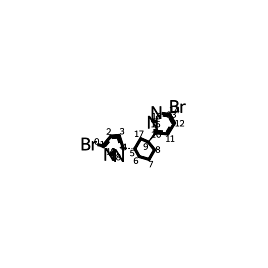 Brc1ccc([C@H]2CCC[C@H](c3ccc(Br)nn3)C2)nn1